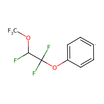 FC(OC(F)(F)F)C(F)(F)Oc1cc[c]cc1